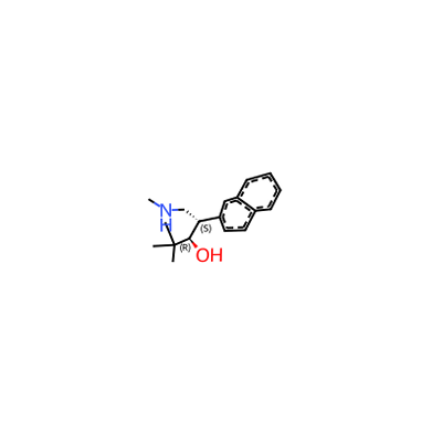 CNC[C@H](c1ccc2ccccc2c1)[C@@H](O)C(C)(C)C